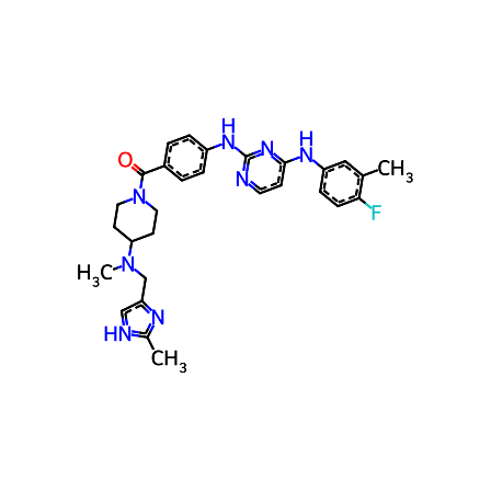 Cc1nc(CN(C)C2CCN(C(=O)c3ccc(Nc4nccc(Nc5ccc(F)c(C)c5)n4)cc3)CC2)c[nH]1